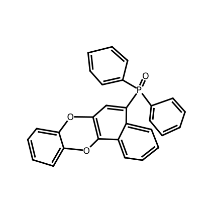 O=P(c1ccccc1)(c1ccccc1)c1cc2c(c3ccccc13)Oc1ccccc1O2